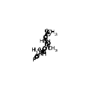 CN(c1ccc2c(c1)nc(NCc1ccc(F)cc1)n2C)c1ccnc(Nc2ccc(CS(C)(=O)=O)cc2)n1